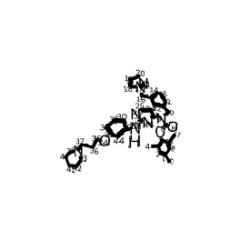 Cc1cc(C)c(OC(=O)N(Cc2cccc(Cn3cccn3)c2)c2ccnc(Nc3cccc(OCCCN4CCCCC4)c3)n2)c(C)c1